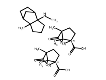 CC12CC[C@](C(=O)O)(OC1=O)C2(C)C.CC12CC[C@](C(=O)O)(OC1=O)C2(C)C.CNC12CCCC1(C)C1CCC2C1